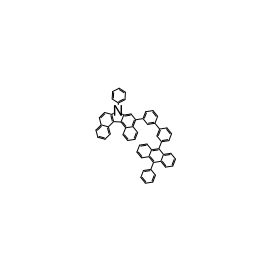 c1ccc(-c2c3ccccc3c(-c3cccc(-c4cccc(-c5cc6c(c7ccccc57)c5c7ccccc7ccc5n6-c5ccccc5)c4)c3)c3ccccc23)cc1